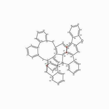 c1ccc2c(c1)Cc1ccccc1-c1c(cccc1N(c1ccccc1-c1ccc3c(c1)oc1ccccc13)c1cccc3ccccc13)Cc1ccccc1-2